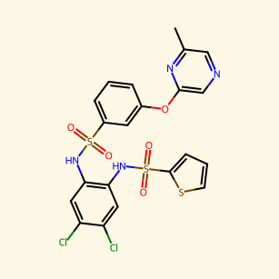 Cc1cncc(Oc2cccc(S(=O)(=O)Nc3cc(Cl)c(Cl)cc3NS(=O)(=O)c3cccs3)c2)n1